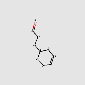 O=CCCC1CC=CCC1